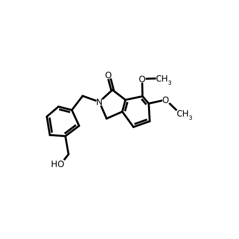 COc1ccc2c(c1OC)C(=O)N(Cc1cccc(CO)c1)C2